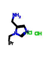 CC(C)Cn1cncc1CN.Cl.Cl